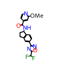 COc1cc(C(=O)N[C@@H]2CCc3cc(-c4noc(C(F)F)n4)ccc32)ccn1